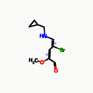 CO/C(C=O)=C/C(Br)=C\NCC1CC1